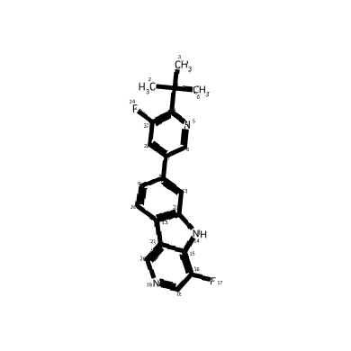 CC(C)(C)c1ncc(-c2ccc3c(c2)[nH]c2c(F)cncc23)cc1F